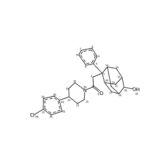 O=C(CC1(c2ccccc2)C2CC3CC1CC(C2)C3O)N1CCC(c2ccc(Cl)cc2)CC1